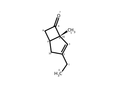 CCC1=C[C@@]2(C)C(=O)CC2C1